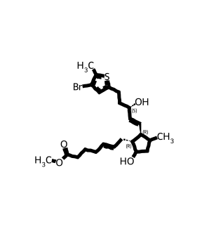 COC(=O)CCCC=CC[C@H]1C(O)CC(C)[C@@H]1C=C[C@@H](O)CCc1cc(Br)c(C)s1